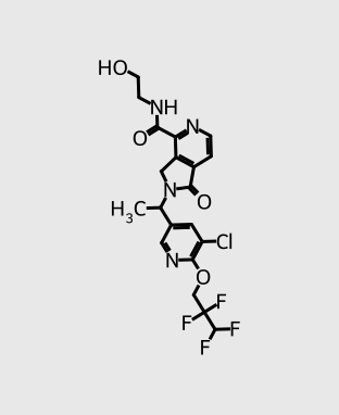 CC(c1cnc(OCC(F)(F)C(F)F)c(Cl)c1)N1Cc2c(ccnc2C(=O)NCCO)C1=O